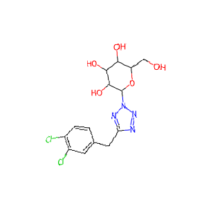 OCC1OC(n2nnc(Cc3ccc(Cl)c(Cl)c3)n2)C(O)C(O)C1O